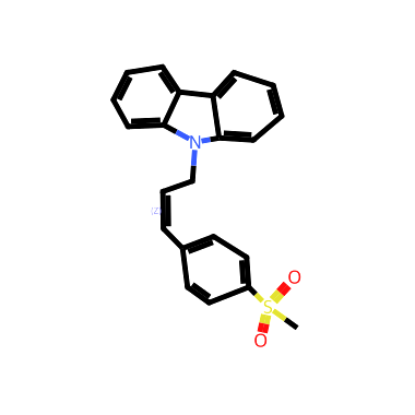 CS(=O)(=O)c1ccc(/C=C\Cn2c3ccccc3c3ccccc32)cc1